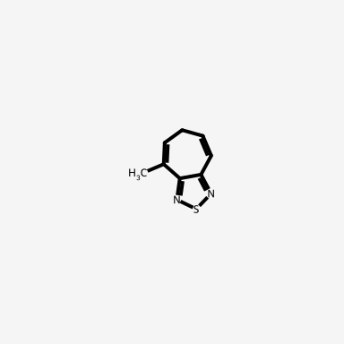 CC1=CCC=Cc2nsnc21